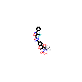 CC(C)(C)[C@@]1(O)c2ccc(-c3noc(-c4onc(-c5ccccc5)c4C(F)(F)F)n3)cc2OC[C@@H]1NC(=O)O